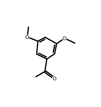 [CH2]C(=O)c1cc(OC)cc(OC)c1